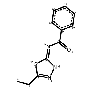 CCC1=N[N]C(=NC(=O)c2ccccc2)S1